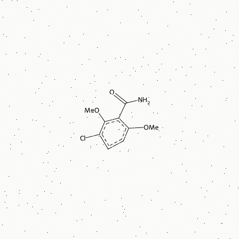 COc1ccc(Cl)c(OC)c1C(N)=O